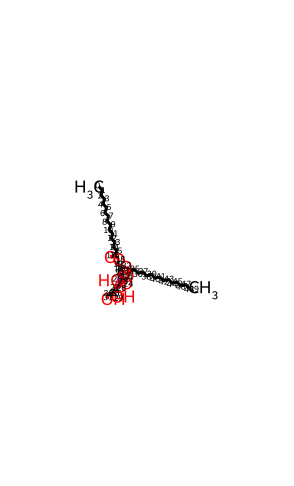 CCCCCCCCCCCCCCCCC(=O)OC[C@H](COP(=O)(O)OC[C@@H](O)CO)OC(=O)CCCCCCCCCCCCCCC